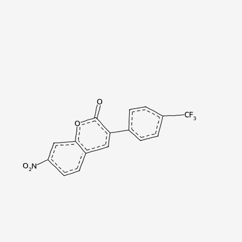 O=c1oc2cc([N+](=O)[O-])ccc2cc1-c1ccc(C(F)(F)F)cc1